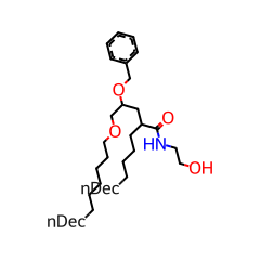 CCCCCCCCCCCCCCCCOCC(CC(CCCCCCCCCCCCCC)C(=O)NCCO)OCc1ccccc1